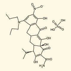 CCCN(CCC)c1cc([N+](=O)[O-])c(O)c2c1CC1CC3[C@H](N(C)C)C(O)=C(C(N)=O)C(=O)[C@@]3(O)C(O)=C1C2=O.O=S(=O)(O)O